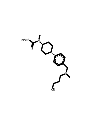 CCCCCC(=O)N(C)[C@H]1CC[C@H](c2ccc(CN(C)CCCC#N)cc2)CC1